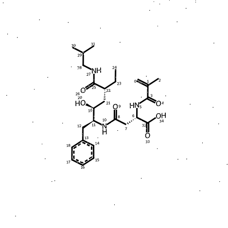 C=C(C)C(=O)N[C@@H](CC(=O)N[C@@H](Cc1ccccc1)[C@@H](O)C[C@@H](CC)C(=O)NCC(C)C)C(=O)O